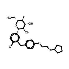 C[C@H]1[C@H](O)[C@@H](O)[C@H](c2ccc(Cl)c(Cc3ccc(OCCOC4CCCC4)cc3)c2)O[C@@H]1CO